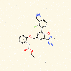 CCOC(=O)Cc1ccccc1OCc1cc(-c2cccc(CN)c2F)c2onc(N)c2c1